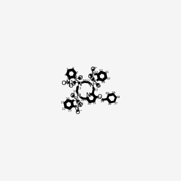 O=[N+]([O-])c1ccccc1S(=O)(=O)N1CCN(S(=O)(=O)c2ccccc2[N+](=O)[O-])Cc2ccc(OCC3=CCCC=C3)c(n2)CN(S(=O)(=O)c2ccccc2[N+](=O)[O-])CC1